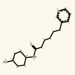 O=C(CCCCCc1cccnc1)NC1CCC(O)CC1